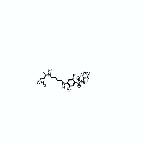 C[C@H](CCN)NCCCCNc1cc(F)c(S(=O)(=O)Nc2ncns2)cc1Br